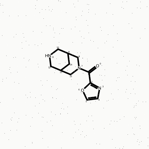 O=C(c1ncco1)N1CC2CNCC(C2)C1